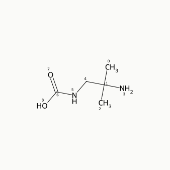 CC(C)(N)CNC(=O)O